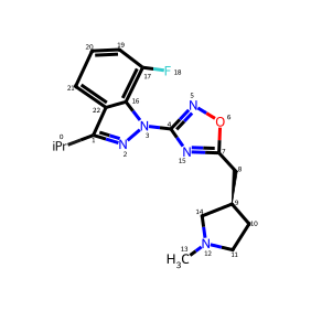 CC(C)c1nn(-c2noc(C[C@H]3CCN(C)C3)n2)c2c(F)cccc12